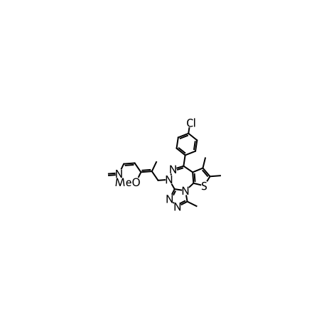 C=N/C=C\C(OC)=C(/C)CN1N=C(c2ccc(Cl)cc2)c2c(sc(C)c2C)-n2c(C)nnc21